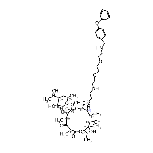 CC[C@H]1OC(=O)[C@H](C)C(=O)[C@H](C)[C@@H](O[C@@H]2O[C@H](C)C[C@H](N(C)C)[C@H]2O)[C@@](C)(OC)C[C@@H](C)/C(=N\OCCNCCOCCOCCNCc2ccc(Oc3ccccc3)cc2)[C@@H](C)[C@@H](O)[C@]1(C)O